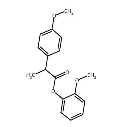 COc1ccc(C(C)C(=O)Oc2ccccc2OC)cc1